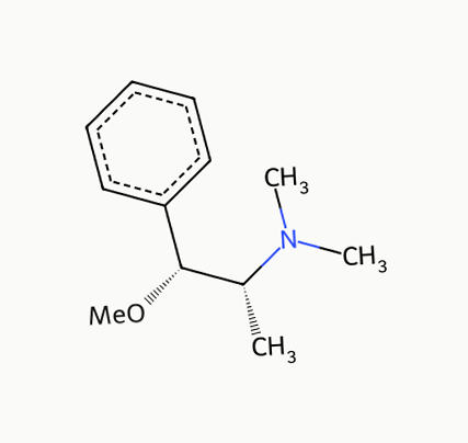 CO[C@H](c1ccccc1)[C@@H](C)N(C)C